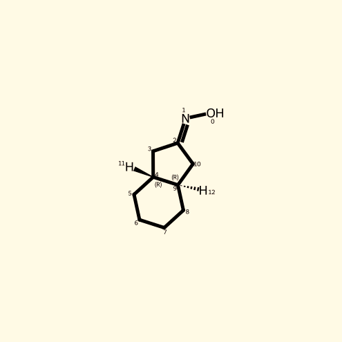 ON=C1C[C@H]2CCCC[C@@H]2C1